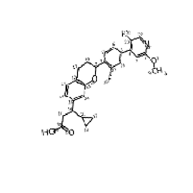 COc1cc(-c2ccc(C3CCc4ccc(C(CC(=O)O)C5CC5)cc4O3)c(F)c2)c(F)cn1